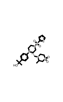 CC1CS(=O)(=O)CCN1C[C@H]1CN(S(=O)(=O)c2cccs2)CCN1c1ccc(C(C)(C)O)cc1